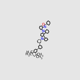 CC1(C)CCC(C)(C)c2cc(-c3cccc(C4=CC(n5c6ccccc6c6c7c8ccccc8n(-c8cccc9oc(-c%10ccccc%10)nc89)c7ccc65)CC=C4)c3)ccc21